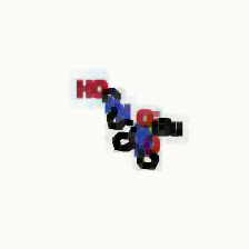 CC(C)(C)[S+]([O-])N[C@@H](Cc1cccc(N2CC[C@@H](O)C2)n1)c1ccccc1-c1noc2ccccc12